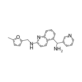 Cc1ccc(CNc2ccc3c(C(N)c4cccnc4)cccc3n2)o1